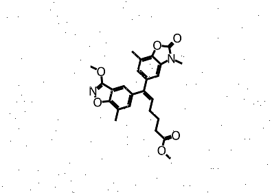 COC(=O)CCC/C=C(\c1cc(C)c2onc(OC)c2c1)c1cc(C)c2oc(=O)n(C)c2c1